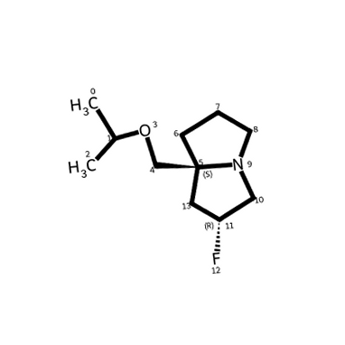 CC(C)OC[C@@]12CCCN1C[C@H](F)C2